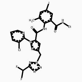 CCNC(=O)c1cc(I)cc(C)c1NC(=O)c1cc(Cn2nnc(C(F)F)n2)nn1-c1ncccc1Cl